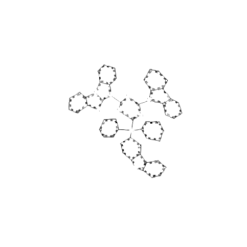 c1ccc([Si](c2ccccc2)(c2ccc3sc4ccccc4c3c2)c2nc(-n3c4ccccc4c4ccccc43)nc(-n3c4ccccc4n4c5ccccc5nc34)n2)cc1